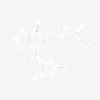 C=CC(=O)N1CCC(n2cc(Nc3cn(C)nc3OC)c3nc[nH]c3c2=O)C1